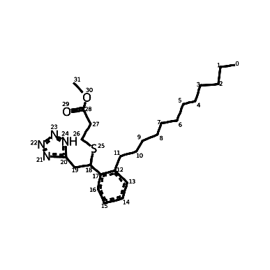 CCCCCCCCCCCCc1ccccc1C(Cc1nnn[nH]1)SCCC(=O)OC